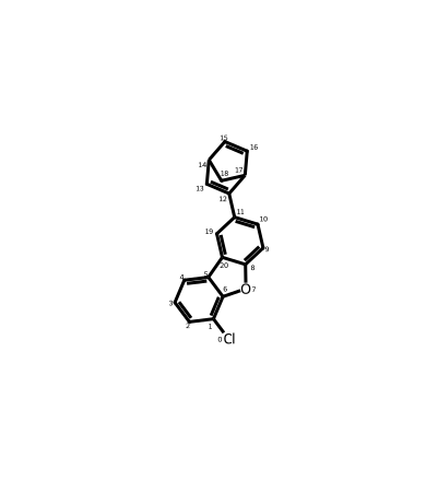 Clc1cccc2c1oc1ccc(C3=CC4C=CC3C4)cc12